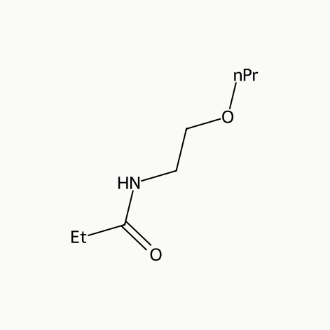 CCCOCCNC(=O)CC